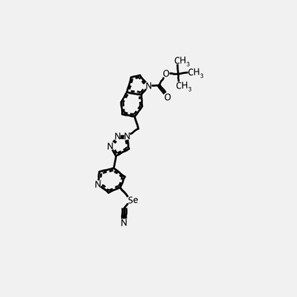 CC(C)(C)OC(=O)n1ccc2ccc(Cn3cc(-c4cncc([Se]C#N)c4)nn3)cc21